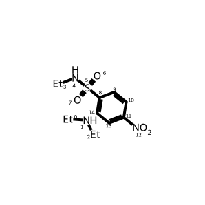 CCNCC.CCNS(=O)(=O)c1ccc([N+](=O)[O-])cc1